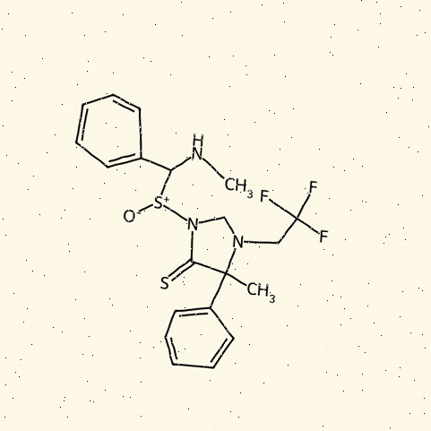 CNC(c1ccccc1)[S+]([O-])N1CN(CC(F)(F)F)C(C)(c2ccccc2)C1=S